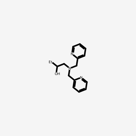 CCC(O)CN(Cc1ccccn1)Cc1ccccn1